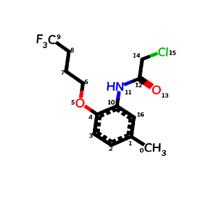 Cc1ccc(OCCCC(F)(F)F)c(NC(=O)CCl)c1